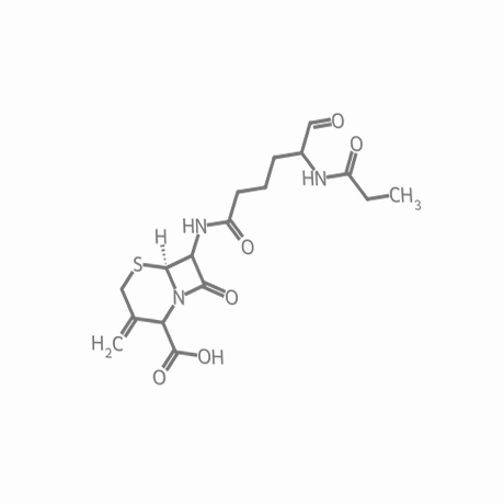 C=C1CS[C@H]2C(NC(=O)CCCC(C=O)NC(=O)CC)C(=O)N2C1C(=O)O